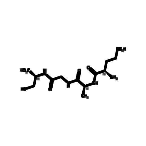 C[C@H](NC(=O)[C@@H](N)CCC(=O)O)C(=O)NCC(=O)N[C@@H](CS)C(=O)O